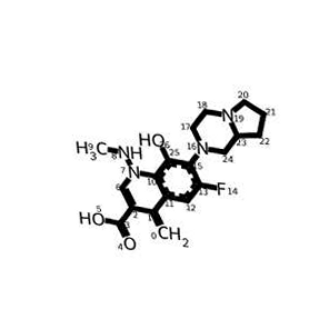 C=C1C(C(=O)O)=CN(NC)c2c1cc(F)c(N1CCN3CCCC3C1)c2O